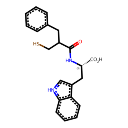 O=C(N[C@@H](Cc1c[nH]c2ccccc12)C(=O)O)C(CS)Cc1ccccc1